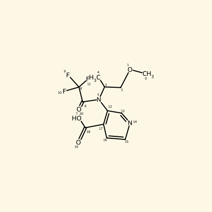 COCC(C)N(C(=O)C(F)(F)F)c1cnccc1C(=O)O